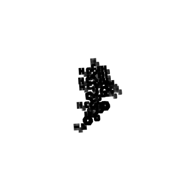 CC[C@H](C)[C@@H]([C@@H](CC(=O)N1CCCC1[C@H](OC)[C@@H](C)C(=O)N[C@@H](Cc1ccccc1)C(=O)Nc1ccc(N)cc1)OC)N(C)C(=O)[C@@H](NC(=O)[C@H](C(C)C)N(C)C)C(C)C